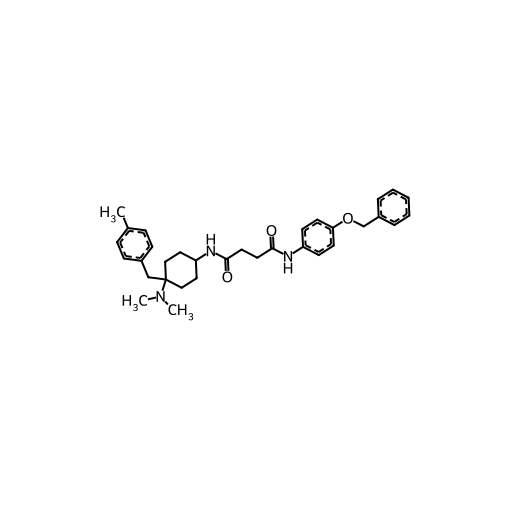 Cc1ccc(CC2(N(C)C)CCC(NC(=O)CCC(=O)Nc3ccc(OCc4ccccc4)cc3)CC2)cc1